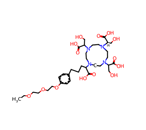 CCOCCOCCOc1ccc(CCCC(C(=O)O)N2CCN(C(CO)C(=O)O)CCN([C@H](CO)C(=O)O)CCN(C(CO)C(=O)O)CC2)cc1